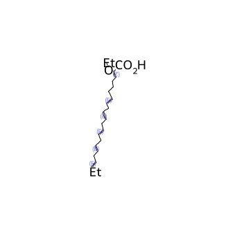 CC/C=C/C/C=C/C/C=C/C/C=C/C/C=C/CCC/C=C(\OCC)C(=O)O